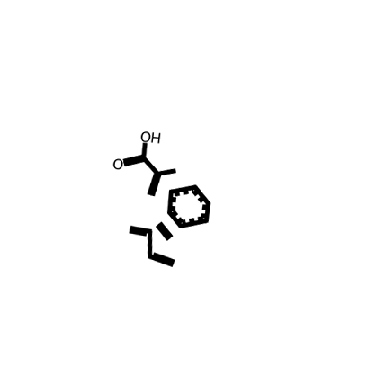 C=C.C=C(C)C(=O)O.C=CC=C.c1ccccc1